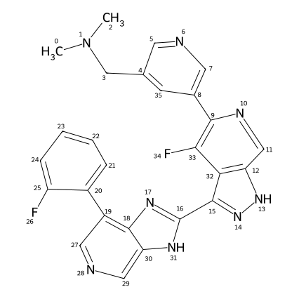 CN(C)Cc1cncc(-c2ncc3[nH]nc(-c4nc5c(-c6ccccc6F)cncc5[nH]4)c3c2F)c1